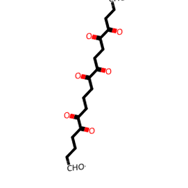 O=[C]CCCC(=O)C(=O)CCCC(=O)C(=O)CCC(=O)C(=O)CC[C]=O